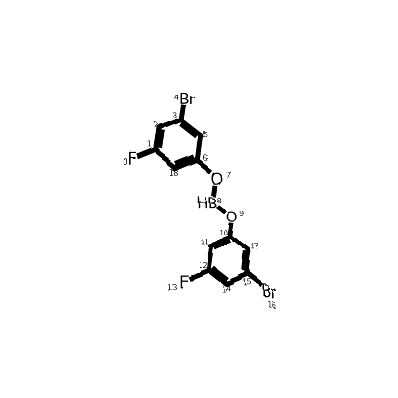 Fc1cc(Br)cc(OBOc2cc(F)cc(Br)c2)c1